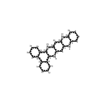 c1ccc2nc3cc4nc5c6ccccc6c6ccccc6c5nc4cc3nc2c1